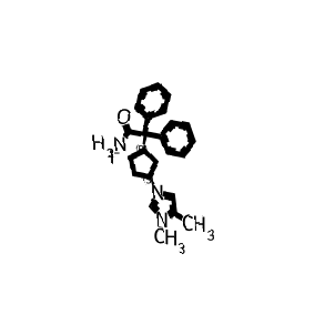 Cc1cn([C@H]2CC[C@@H](C(C(N)=O)(c3ccccc3)c3ccccc3)C2)c[n+]1C.[I-]